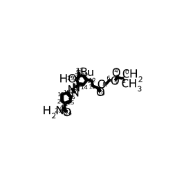 C=C(C)C(=O)OCCOC(=O)CCc1cc(-n2n3c4ccc(C(N)=O)cc4n23)c(O)c(C(C)(C)C)c1